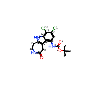 CC(C)(C)OC(=O)Nc1cc(Cl)c(Cl)c2[nH]c3c(c12)CC(=O)NCC3